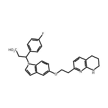 O=C(O)CC(c1ccc(F)cc1)n1ccc2cc(OCCc3ccc4c(n3)NCCC4)ccc21